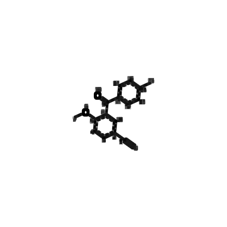 C#Cc1ccc(OC)c(C(=O)c2ccc(C)cc2)c1